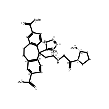 CNC(=O)c1ccc2c(c1)CCc1cc(C(=O)NC)ccc1C2(C[C@H](C)NCC(=O)N1CCC[C@H]1NC)c1nnn[nH]1